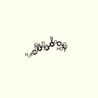 COc1nc(Nc2nccc(-c3ccc(OC4CCN(C(=O)[C@H](O)C(F)F)CC4)c(C#N)c3)n2)ccc1N1CCN(C)CC1